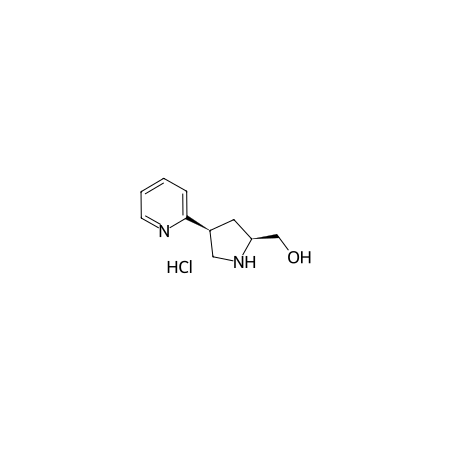 Cl.OC[C@@H]1C[C@H](c2ccccn2)CN1